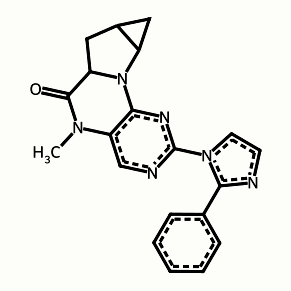 CN1C(=O)C2CC3CC3N2c2nc(-n3ccnc3-c3ccccc3)ncc21